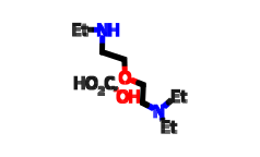 CCNCCOCCN(CC)CC.O=C(O)O